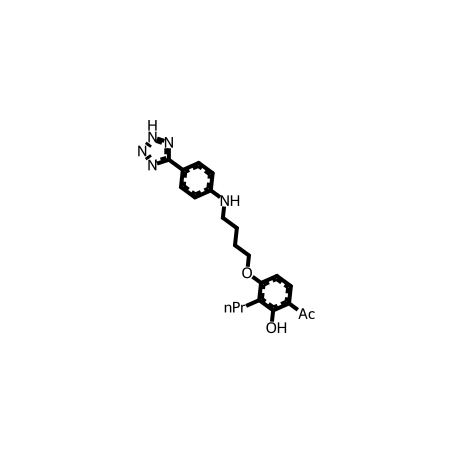 CCCc1c(OCCCCNc2ccc(-c3nn[nH]n3)cc2)ccc(C(C)=O)c1O